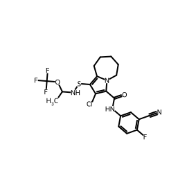 CC(NSc1c(Cl)c(C(=O)Nc2ccc(F)c(C#N)c2)n2c1CCCCC2)OC(F)(F)F